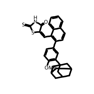 COc1ccc(-c2ccc3ccccc3c2/C=C2/SC(=S)NC2=O)cc1C12CC3CC(CC(C3)C1)C2